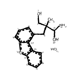 CC(CO)(Cc1cccc2oc3ccccc3c12)C(N)O.Cl